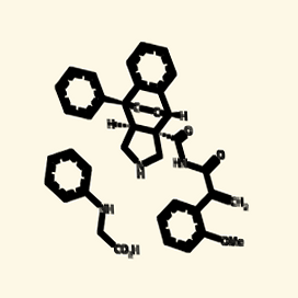 C=C(C(=O)NC(=O)[C@]12CNC[C@H]1[C@@]1(c3ccccc3)CC[C@@H]2c2ccccc21)c1ccccc1OC.O=C(O)CNc1ccccc1